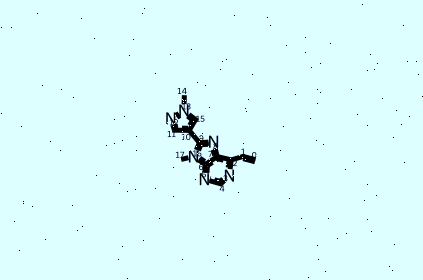 C=Cc1ncnc2c1nc(-c1cnn(C)c1)n2C